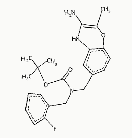 CC1=C(N)Nc2cc(CN(Cc3ccccc3F)C(=O)OC(C)(C)C)ccc2O1